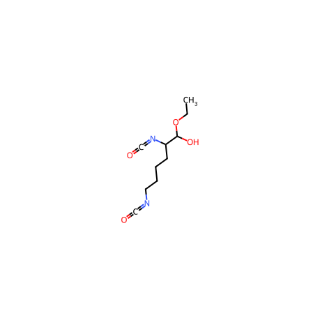 CCOC(O)C(CCCCN=C=O)N=C=O